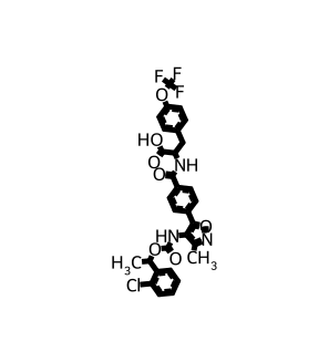 Cc1noc(-c2ccc(C(=O)NC(Cc3ccc(OC(F)(F)F)cc3)C(=O)O)cc2)c1NC(=O)OC(C)c1ccccc1Cl